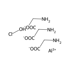 NCC(=O)[O-].NCC(=O)[O-].NCC(=O)[O-].OCl.[Al+3]